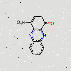 O=C1CC=C([N+](=O)[O-])c2nc3ccccc3nc21